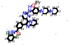 CC(C)Oc1cc(N2CCC(N3CCCCC3)CC2)ccc1Nc1nccc(-c2c(-c3cccc(C(=O)Nc4c(F)cccc4F)c3)nc3ccccn23)n1